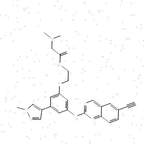 C#Cc1ccc2nc(Nc3cc(OC[C@@H](C)NC(=O)CN(C)C)cc(-c4cnn(C)c4)c3)ncc2c1